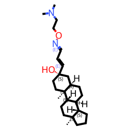 CN(C)CCO/N=C/C=C/[C@]1(O)CC[C@@]2(C)[C@H](CC[C@H]3[C@@H]4CCC[C@@]4(C)CC[C@@H]32)C1